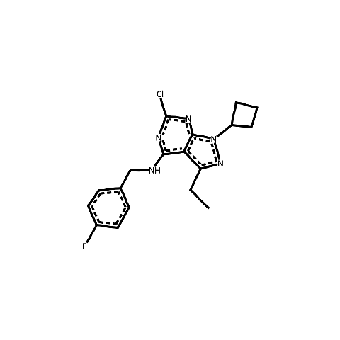 CCc1nn(C2CCC2)c2nc(Cl)nc(NCc3ccc(F)cc3)c12